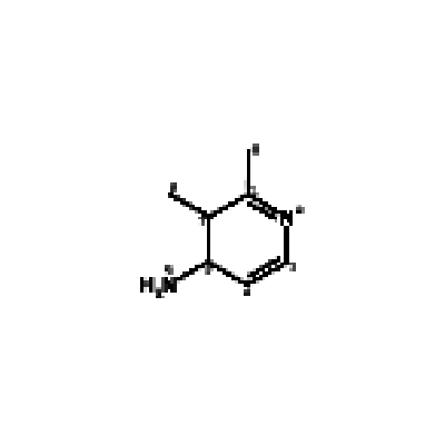 CC1=NC=CC(N)C1C